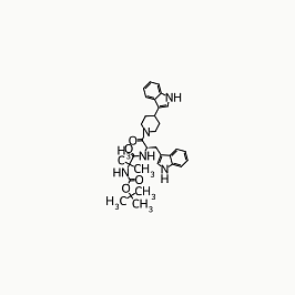 CC(C)(C)OC(=O)NC(C)(C)C(=O)N[C@H](Cc1c[nH]c2ccccc12)C(=O)N1CCC(c2c[nH]c3ccccc23)CC1